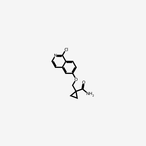 NC(=O)C1(COc2ccc3c(Cl)nccc3c2)CC1